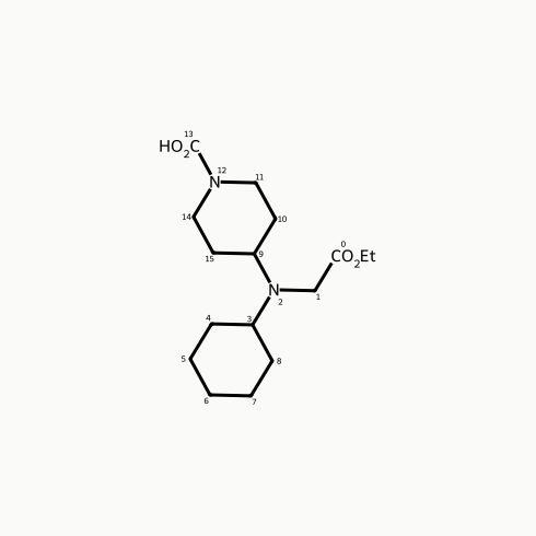 CCOC(=O)CN(C1CCCCC1)C1CCN(C(=O)O)CC1